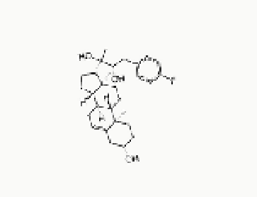 CC(O)([C@H]1CC[C@H]2[C@@H]3CC=C4C[C@@H](O)CC[C@]4(C)[C@H]3CC[C@]12C)[C@@H](O)Cc1ccc(F)cc1